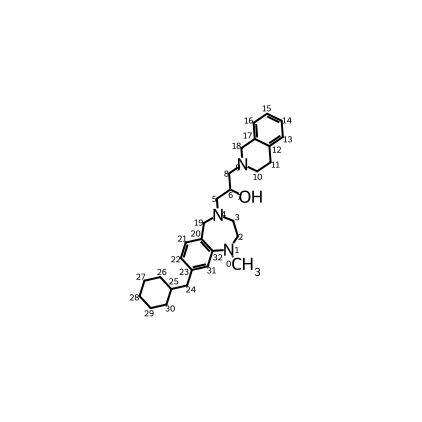 CN1CCN(CC(O)CN2CCc3ccccc3C2)Cc2ccc(CC3CCCCC3)cc21